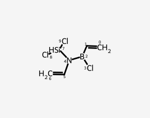 C=CB(Cl)N(C=C)[SiH](Cl)Cl